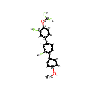 CCCOc1ccc(-c2ccc(-c3ccc(OC(F)F)c(F)c3)cc2F)cc1